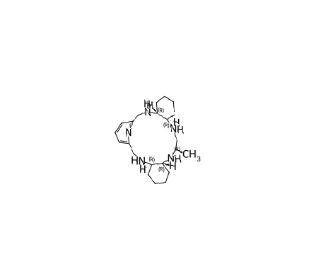 C[C@@H]1CN[C@@H]2CCCC[C@H]2NCc2cccc(n2)CN[C@@H]2CCCC[C@H]2N1